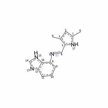 Cc1cc(C)c(/C=N/c2cccc3nc[nH]c23)[nH]1